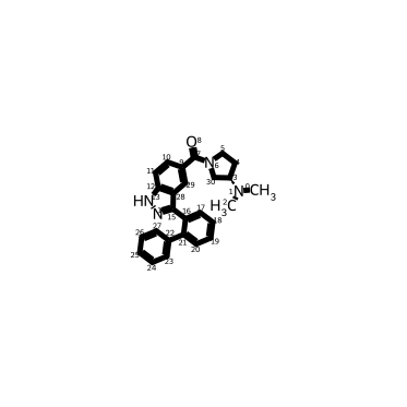 CN(C)[C@H]1CCN(C(=O)c2ccc3[nH]nc(-c4ccccc4-c4ccccc4)c3c2)C1